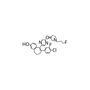 Oc1ccc2c(c1)CCCC(c1ccc(Cl)c(F)c1)=C2c1cnc(O[C@H]2CCN(CCCF)C2)cn1